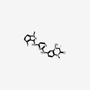 CC(C)N1c2cc(Nc3nccc(Nc4nn(C)c5cccc(F)c45)n3)ccc2N(C)C(=O)[C@H]1C